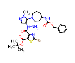 Cn1ncc(N(N)C(=O)c2nc(Br)sc2C(=O)OC(C)(C)C)c1N1CCCC(NC(=O)OCc2ccccc2)CC1